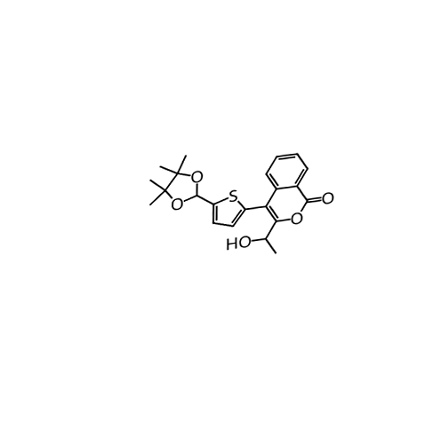 CC(O)c1oc(=O)c2ccccc2c1-c1ccc(C2OC(C)(C)C(C)(C)O2)s1